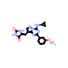 O=C1NC(=O)/C(=C/c2cnn3c(NC4CC4)nc(-c4cccc(OC(F)(F)F)c4)nc23)N1